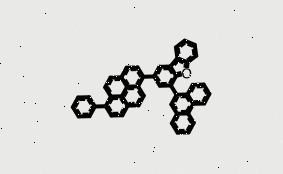 c1ccc(-c2ccc3ccc4c(-c5cc(-c6cc7ccccc7c7ccccc67)c6oc7ccccc7c6c5)ccc5ccc2c3c54)cc1